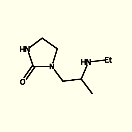 CCNC(C)CN1CCNC1=O